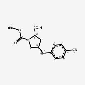 CC(C)(C)OC(=O)N1C[C@H](Nc2ccc(C#N)cn2)C[C@H]1C(=O)O